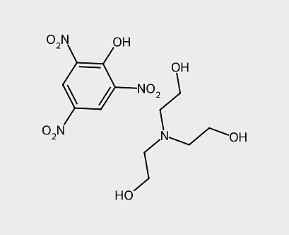 O=[N+]([O-])c1cc([N+](=O)[O-])c(O)c([N+](=O)[O-])c1.OCCN(CCO)CCO